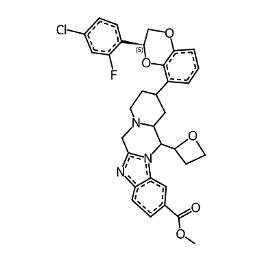 COC(=O)c1ccc2nc3n(c2c1)C(C1CCO1)C1CC(c2cccc4c2O[C@@H](c2ccc(Cl)cc2F)CO4)CCN1C3